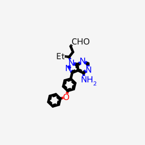 CCC(CCC=O)n1nc(-c2ccc(Oc3ccccc3)cc2)c2c(N)ncnc21